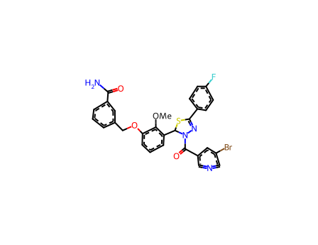 COc1c(OCc2cccc(C(N)=O)c2)cccc1C1SC(c2ccc(F)cc2)=NN1C(=O)c1cncc(Br)c1